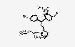 C/N=C\C/C(O)=C/c1nccn1CC[C@@H](c1ccc(F)cc1)c1ccc(F)c(C)c1